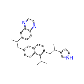 CC(C)c1c(CC(C)c2cc[nH]c2)ccc2cc(CC(C)c3ccc4nccnc4c3)ccc12